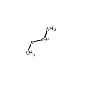 CSNN